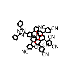 N#Cc1ccc(-c2ccc3c(c2)c2cc(-c4ccc(C#N)cc4C#N)ccc2n3-c2ccccc2-c2cc(-c3nc(-c4ccccc4)nc(-c4ccccc4)n3)ccc2-n2c3ccc(-c4ccc(C#N)cc4C#N)cc3c3cc(-c4ccc(C#N)cc4C#N)ccc32)c(C#N)c1